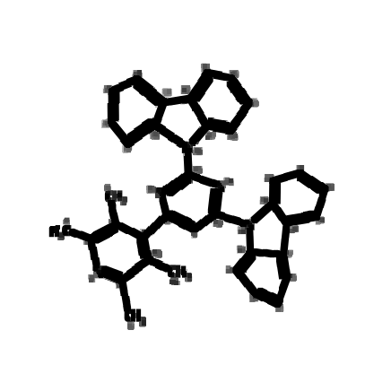 Cc1nc(C)c(C)c(-c2cc(-n3c4ccccc4c4ccccc43)nc(-n3c4ccccc4c4ccccc43)n2)c1C